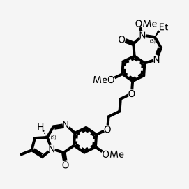 CC[C@H]1C=Nc2cc(OCCCOc3cc4c(cc3OC)C(=O)N3C=C(C)C[C@H]3C=N4)c(OC)cc2C(=O)N1OC